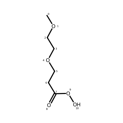 COCCOCCC(=O)OO